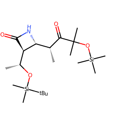 C[C@@H](O[Si](C)(C)C(C)(C)C)[C@H]1C(=O)N[C@@H]1[C@@H](C)C(=O)C(C)(C)O[Si](C)(C)C